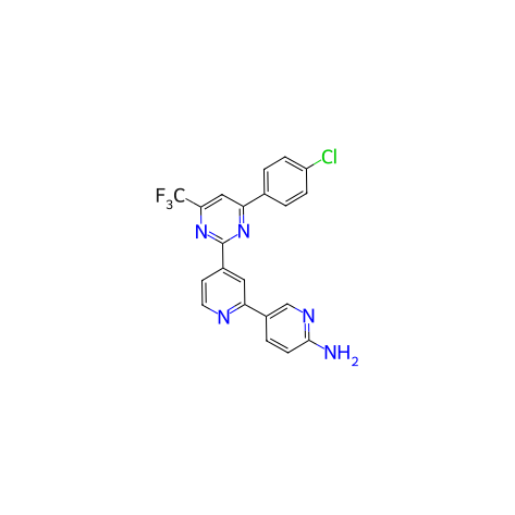 Nc1ccc(-c2cc(-c3nc(-c4ccc(Cl)cc4)cc(C(F)(F)F)n3)ccn2)cn1